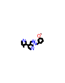 COc1cccc(Cn2ncc3c(-c4cnccc4C)ccnc32)c1